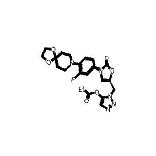 CCC(=O)Oc1cnnn1C[C@H]1CN(c2ccc(N3CCC4(CC3)OCCO4)c(F)c2)C(=O)O1